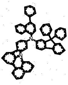 c1ccc(-c2ccc(N(c3ccc4c(c3)C(c3ccccc3)(c3ccccc3)c3ccccc3-4)c3ccc4c5cccc6c7cccc8cccc(c87)n(c4c3)c65)c3ccccc23)cc1